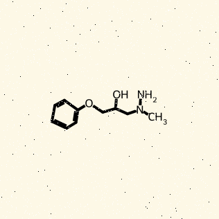 CN(N)CC(O)COc1ccccc1